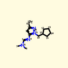 CC(C)c1cc(N=CN(C)C)n(CC2CCCC2)n1